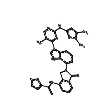 Cc1cnc(Nc2cc(C)n(C)n2)nc1-c1c[nH]c2c(N3Cc4c(NC(=O)c5ccon5)cccc4C3=O)cccc12